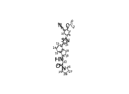 CC(C)Oc1ccc(-c2ncc(C3C=CC=C4C3CC[C@@H]4NCC(=O)N3CCCC3)s2)cc1C#N